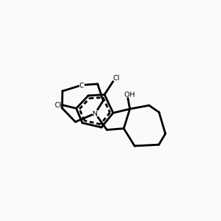 OC1(c2ccc(Cl)cc2Cl)CCCCCC1CN1CCCCCC1